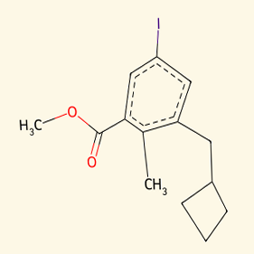 COC(=O)c1cc(I)cc(CC2CCC2)c1C